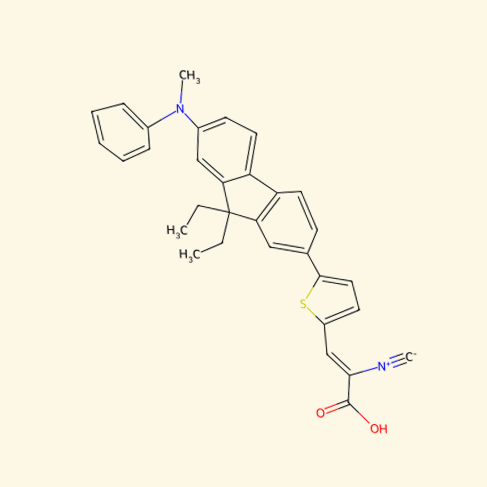 [C-]#[N+]/C(=C\c1ccc(-c2ccc3c(c2)C(CC)(CC)c2cc(N(C)c4ccccc4)ccc2-3)s1)C(=O)O